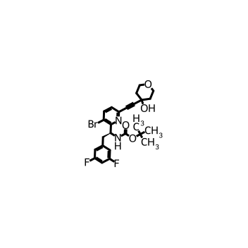 CC(C)(C)OC(=O)N[C@@H](Cc1cc(F)cc(F)c1)c1nc(C#CC2(O)CCOCC2)ccc1Br